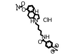 CN(C)C(=O)Oc1cccc2c1CC[C@@H]1[C@H]2CCN1CCCCCNC(=O)c1ccc(S(C)(=O)=O)cc1.Cl